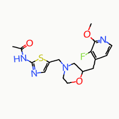 COc1nccc(CC2CN(Cc3cnc(NC(C)=O)s3)CCO2)c1F